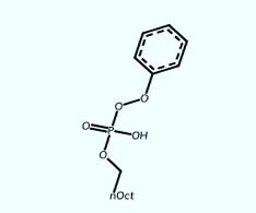 CCCCCCCCCOP(=O)(O)OOc1ccccc1